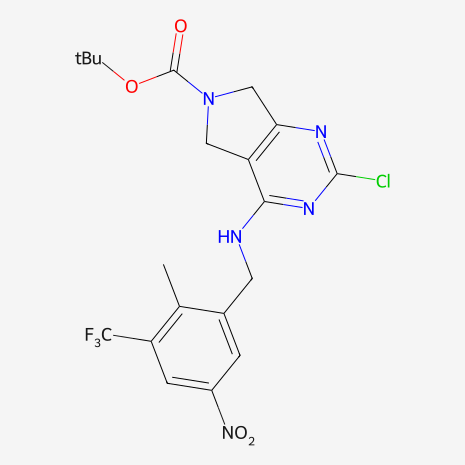 Cc1c(CNc2nc(Cl)nc3c2CN(C(=O)OC(C)(C)C)C3)cc([N+](=O)[O-])cc1C(F)(F)F